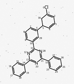 ClC1=CC=CC(c2cccc(-c3nc(-c4ccccc4)nc(-c4ccccc4)n3)c2)C1